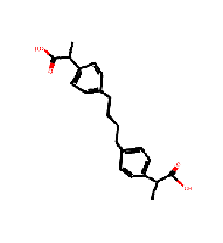 CC(C(=O)O)c1ccc(CCCCc2ccc(C(C)C(=O)O)cc2)cc1